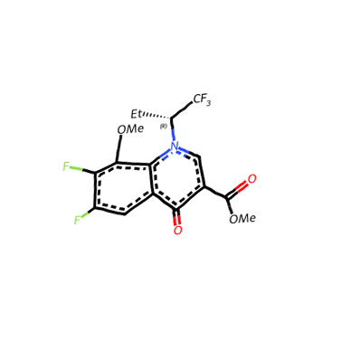 CC[C@@H](n1cc(C(=O)OC)c(=O)c2cc(F)c(F)c(OC)c21)C(F)(F)F